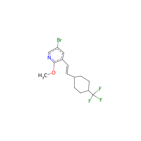 COc1ncc(Br)cc1C=CC1CCC(C(F)(F)F)CC1